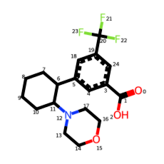 O=C(O)c1cc(C2CCCCC2N2CCOCC2)cc(C(F)(F)F)c1